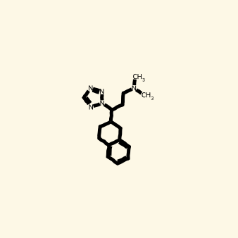 CN(C)CCC(C1CCc2ccccc2C1)n1ncnn1